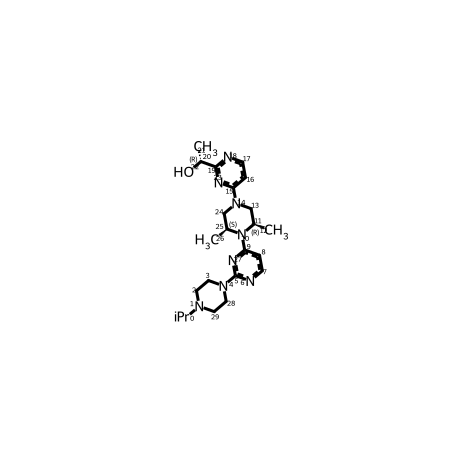 CC(C)N1CCN(c2nccc(N3[C@H](C)CN(c4ccnc([C@@H](C)O)n4)C[C@@H]3C)n2)CC1